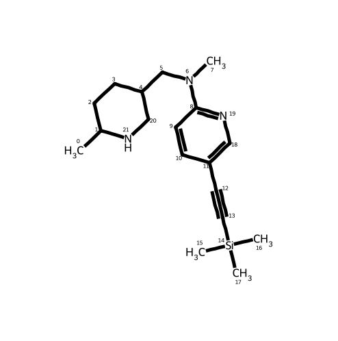 CC1CCC(CN(C)c2ccc(C#C[Si](C)(C)C)cn2)CN1